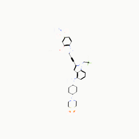 COc1cc(S(N)(=O)=O)ccc1NCC#Cc1cc2c(N[C@H]3CC[C@H](N4CCS(=O)(=O)CC4)CC3)cccc2n1CC(F)(F)F